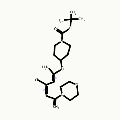 C=C(/N=C(Cl)\C=C(/N)OC1CCN(C(=O)OC(C)(C)C)CC1)N1CCOCC1